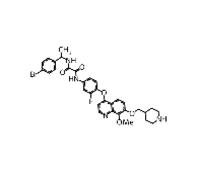 COc1c(OCC2CCNCC2)ccc2c(Oc3ccc(NC(=O)C(=O)NC(C)c4ccc(Br)cc4)cc3F)ccnc12